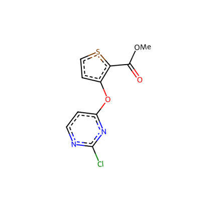 COC(=O)c1sccc1Oc1ccnc(Cl)n1